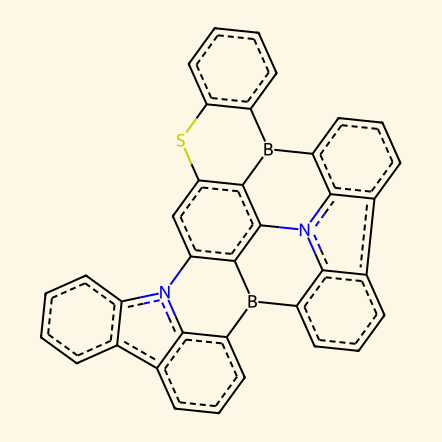 c1ccc2c(c1)Sc1cc3c4c5c1B2c1cccc2c6cccc(c6n-5c12)B4c1cccc2c4ccccc4n-3c12